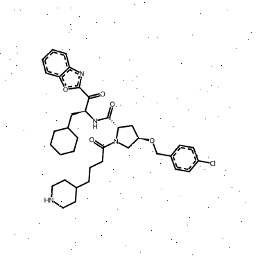 O=C(c1nc2ccccc2o1)[C@H](CC1CCCCC1)NC(=O)[C@@H]1C[C@@H](OCc2ccc(Cl)cc2)CN1C(=O)CCCC1CCNCC1